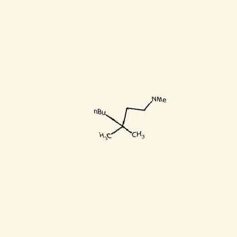 CCCCC(C)(C)CCNC